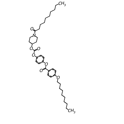 CCCCCCCCCCOc1ccc(C(=O)Oc2ccc(OC(=O)OC3CCN(C(=O)CCCCCCCCC)CC3)cc2)cc1